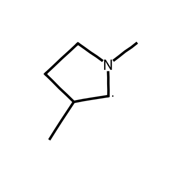 CC1[CH]N(C)CC1